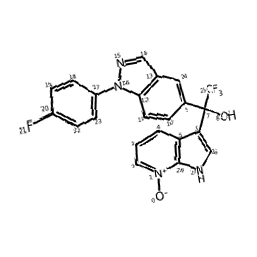 [O-][n+]1cccc2c(C(O)(c3ccc4c(cnn4-c4ccc(F)cc4)c3)C(F)(F)F)c[nH]c21